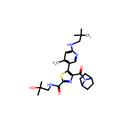 CC(C)(O)CNC(=O)c1nc(C(=O)N2C3CCC2CC3)c(-c2cnc(NCC(C)(C)C(F)(F)F)cc2C(F)(F)F)s1